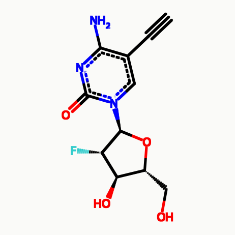 C#Cc1cn([C@H]2O[C@H](CO)[C@@H](O)[C@@H]2F)c(=O)nc1N